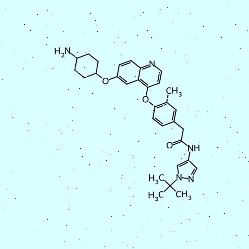 Cc1cc(CC(=O)Nc2cnn(C(C)(C)C)c2)ccc1Oc1ccnc2ccc(OC3CCC(N)CC3)cc12